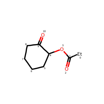 CCC(=O)OC1CCCCC1=O